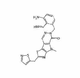 Cn1c2nc(Cc3ccns3)sc2c2cnn(Cc3cccc(N)c3C=N)c(=O)c21